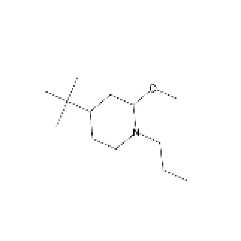 CCCN1CCC(C(C)(C)C)CC1OC